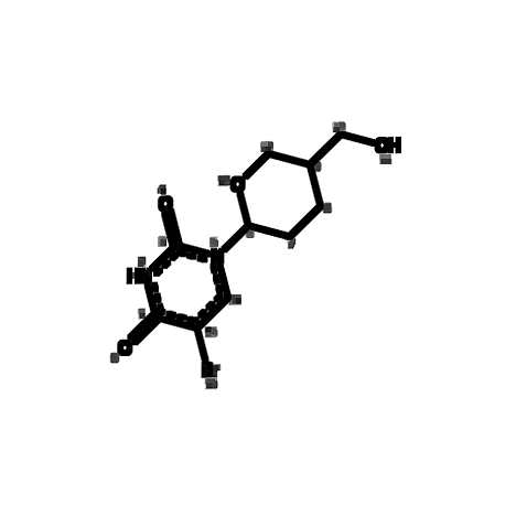 O=c1[nH]c(=O)n(C2CCC(CO)CO2)cc1Br